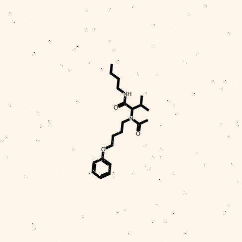 CCCCNC(=O)C(C(C)C)N(CCCCOc1ccccc1)C(C)=O